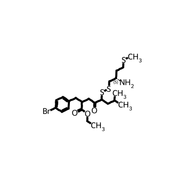 CCOC(=O)C(CC(=O)C(CC(C)C)SSC[C@@H](N)CCSC)Cc1ccc(Br)cc1